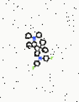 Fc1ccc(N(c2ccc(F)cc2)c2ccc3c(c2)C(c2ccccc2)(c2ccccc2)c2cc(N(c4ccccc4)c4ccccc4)c4ccccc4c2-3)cc1